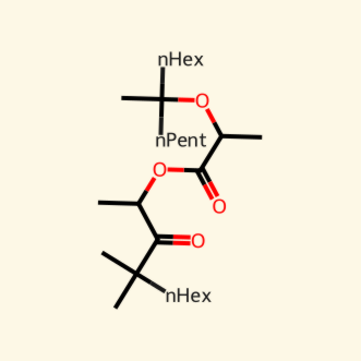 CCCCCCC(C)(CCCCC)OC(C)C(=O)OC(C)C(=O)C(C)(C)CCCCCC